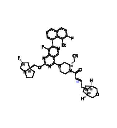 CCc1c(F)ccc2cccc(-c3ncc4c(N5CCN(C(=O)/C=C/CN6[C@@H]7CC[C@H]6COC7)[C@@H](CC#N)C5)nc(OC[C@@]56CCCN5C[C@H](F)C6)nc4c3F)c12